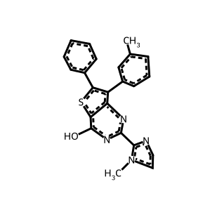 Cc1cccc(-c2c(-c3ccccc3)sc3c(O)nc(-c4nccn4C)nc23)c1